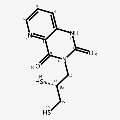 O=c1[nH]c2cccnc2c(=O)n1C[C@@H](S)CS